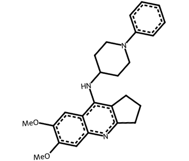 COc1cc2nc3c(c(NC4CCN(c5ccccc5)CC4)c2cc1OC)CCC3